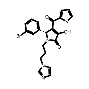 O=C(C1=C(O)C(=O)N(CCCn2ccnc2)[C@@H]1c1cccc(Br)c1)c1cccs1